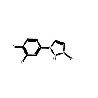 Fc1ccc(N2C=CN(Br)N2)cc1F